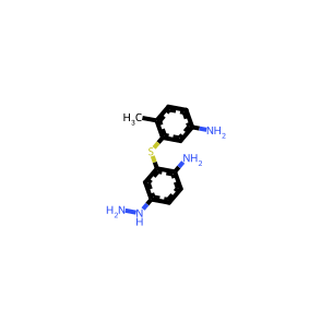 Cc1ccc(N)cc1Sc1cc(NN)ccc1N